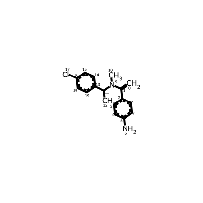 C=C(c1ccc(N)cc1)N(C)C(C)c1ccc(Cl)cc1